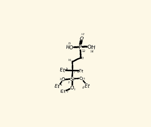 CCO[Si](OCC)(OCC)C(CC)(CC)CCP(=O)(O)O